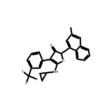 Cc1cc(C2OC(NC3CC3)=C(c3cccc(C(F)(F)F)c3)C2=O)c2ccccc2c1